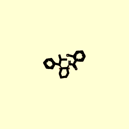 CN(C)C(c1ccccc1)[C@H]1CCCC[C@H]1NC(=O)c1ccccc1Cl